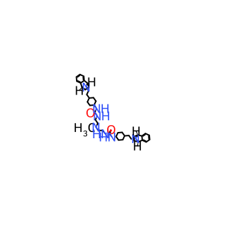 CN(CCNC(=O)NC1CCC(CCN2[C@@H]3CC[C@H]2c2ccccc23)CC1)CCNC(=O)NC1CCC(CCN2[C@@H]3CC[C@H]2c2ccccc23)CC1